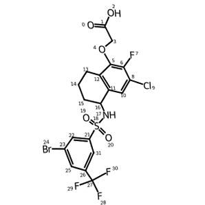 O=C(O)COc1c(F)c(Cl)cc2c1CCCC2NS(=O)(=O)c1cc(Br)cc(C(F)(F)F)c1